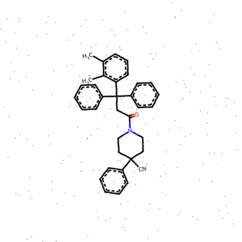 Cc1cccc(C(CC(=O)N2CCC(C#N)(c3ccccc3)CC2)(c2ccccc2)c2ccccc2)c1C